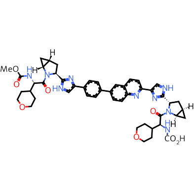 COC(=O)N[C@H](C(=O)N1[C@@H]2C[C@@H]2C[C@H]1c1nc(-c2ccc(-c3ccc4nc(-c5c[nH]c([C@@H]6C[C@H]7C[C@H]7N6C(=O)[C@@H](NC(=O)O)C6CCOCC6)n5)ccc4c3)cc2)c[nH]1)C1CCOCC1